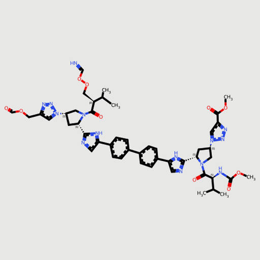 COC(=O)N[C@H](C(=O)N1C[C@@H](n2cc(C(=O)OC)nn2)C[C@H]1c1ncc(-c2ccc(-c3ccc(-c4cnc([C@@H]5C[C@H](n6cc(COC=O)nn6)CN5C(=O)[C@@H](COOC=N)C(C)C)[nH]4)cc3)cc2)[nH]1)C(C)C